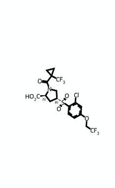 O=C(O)[C@@H]1C[C@@H](S(=O)(=O)c2ccc(OCC(F)(F)F)cc2Cl)CN1C(=O)C1(C(F)(F)F)CC1